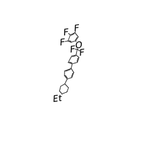 CCC1CCC(c2ccc(-c3ccc(C(F)(F)Oc4cc(F)c(F)c(F)c4)cc3)cc2)CC1